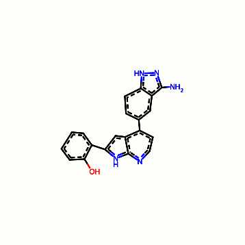 Nc1n[nH]c2ccc(-c3ccnc4[nH]c(-c5ccccc5O)cc34)cc12